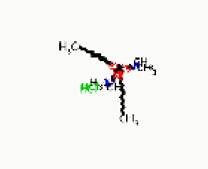 CCCCCCCCCCCCOCC(COCCCCCCCCCCCC)(COCCN(C)C)COCCN(C)C.Cl.Cl